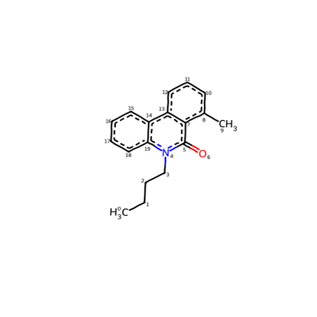 CCCCn1c(=O)c2c(C)cccc2c2ccccc21